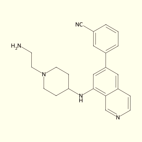 N#Cc1cccc(-c2cc(NC3CCN(CCN)CC3)c3cnccc3c2)c1